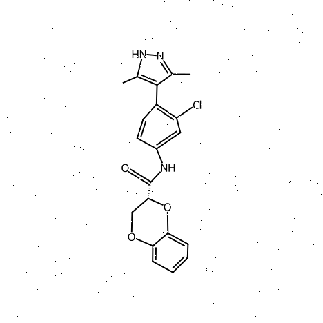 Cc1n[nH]c(C)c1-c1ccc(NC(=O)[C@H]2COc3ccccc3O2)cc1Cl